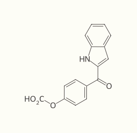 O=C(O)Oc1ccc(C(=O)c2cc3ccccc3[nH]2)cc1